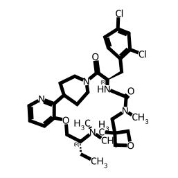 CC[C@H](COc1cccnc1C1CCN(C(=O)[C@@H](Cc2ccc(Cl)cc2Cl)NC(=O)N(C)CC2(C)COC2)CC1)N(C)C